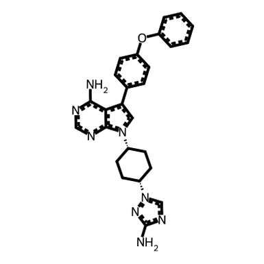 Nc1ncn([C@H]2CC[C@@H](n3cc(-c4ccc(Oc5ccccc5)cc4)c4c(N)ncnc43)CC2)n1